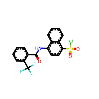 O=C(Nc1ccc(S(=O)(=O)Cl)c2ccccc12)c1ccccc1C(F)(F)F